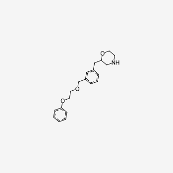 c1ccc(OCCOCc2cccc(CC3CNCCO3)c2)cc1